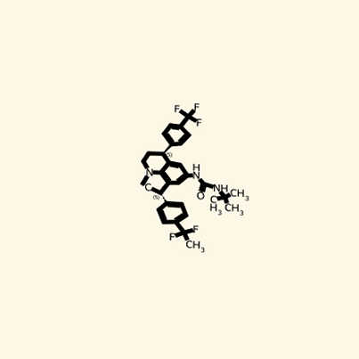 CC(C)(C)NC(=O)Nc1cc2c3c(c1)[C@H](c1ccc(C(F)(F)F)cc1)CCN3CC[C@H]2c1ccc(C(C)(F)F)cc1